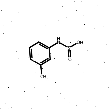 Cc1cccc(NS(=O)O)c1